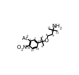 CC(=O)c1cc(C(C)(C)OCCC(C)(C)N)ccc1[N+](=O)[O-]